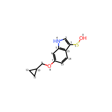 OSc1c[nH]c2cc(OCC3CC3)ccc12